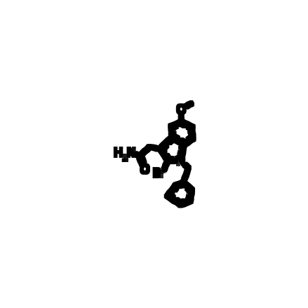 COc1ccc2c(c1)c(CC(N)=O)c(Br)n2Cc1ccccc1